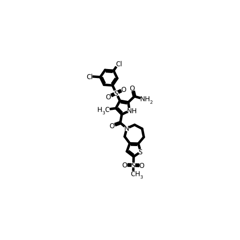 Cc1c(C(=O)N2CCCc3sc(S(C)(=O)=O)cc3C2)[nH]c(C(N)=O)c1S(=O)(=O)c1cc(Cl)cc(Cl)c1